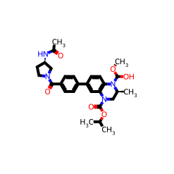 COC(O)N1c2ccc(-c3ccc(C(=O)N4CC[C@H](NC(C)=O)C4)cc3)cc2N(C(=O)OC(C)C)C[C@@H]1C